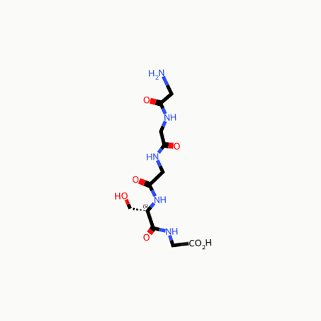 NCC(=O)NCC(=O)NCC(=O)N[C@@H](CO)C(=O)NCC(=O)O